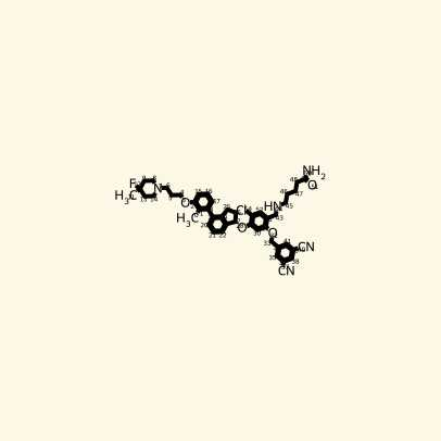 Cc1c(OCCCN2CCC(C)(F)CC2)cccc1-c1cccc2c1CC[C@@H]2Oc1cc(OCc2cc(C#N)cc(C#N)c2)c(CNCCCCC(N)=O)cc1Cl